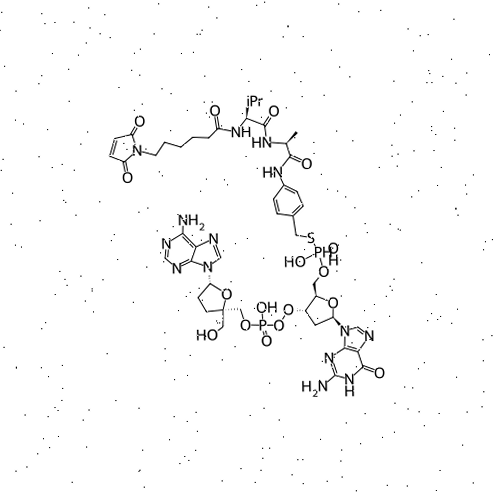 CC(C)[C@H](NC(=O)CCCCCN1C(=O)C=CC1=O)C(=O)N[C@@H](C)C(=O)Nc1ccc(CS[PH](O)(O)OC[C@H]2O[C@@H](n3cnc4c(=O)[nH]c(N)nc43)C[C@@H]2OOP(=O)(O)OC[C@]2(CO)CC[C@H](n3cnc4c(N)ncnc43)O2)cc1